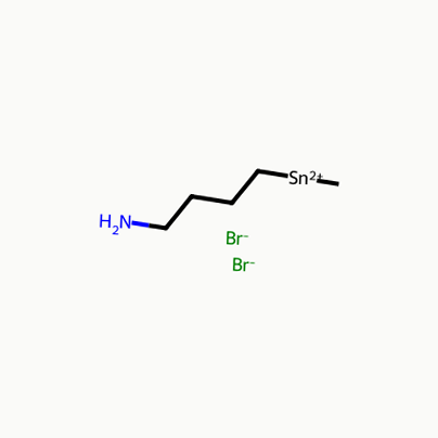 [Br-].[Br-].[CH3][Sn+2][CH2]CCCN